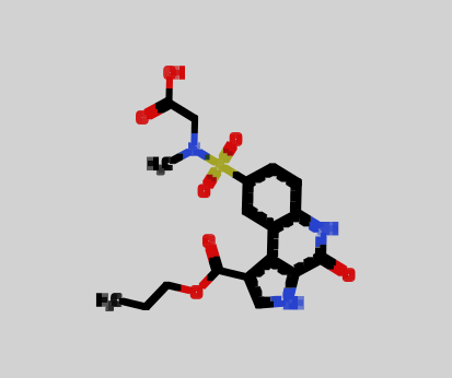 CCCOC(=O)c1c[nH]c2c(=O)[nH]c3ccc(S(=O)(=O)N(C)CC(=O)O)cc3c12